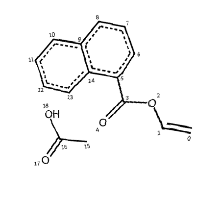 C=COC(=O)c1cccc2ccccc12.CC(=O)O